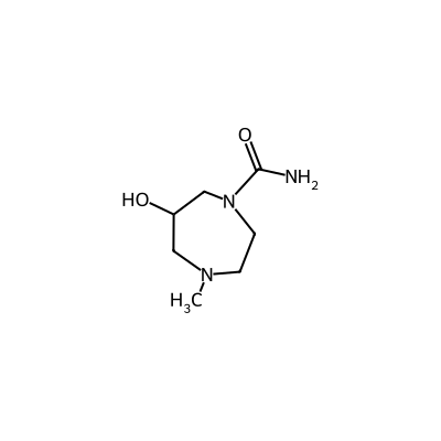 CN1CCN(C(N)=O)CC(O)C1